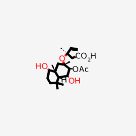 C=C[C@@](C)(CC(=O)O)O[C@@]1(C)C[C@@]2(C)C(O)CCC(C)(C)[C@@H]2[C@H](O)[C@@H]1OC(C)=O